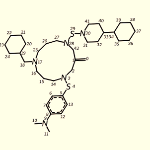 C=C1CN(Sc2ccc(N(C)C)cc2)CCCN(CC2CCCCC2)CCCN(SN2CCC(C3CCCCC3)CC2)C1